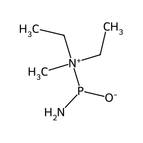 CC[N+](C)(CC)P(N)[O-]